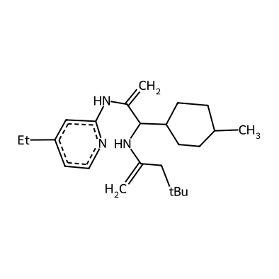 C=C(CC(C)(C)C)NC(C(=C)Nc1cc(CC)ccn1)C1CCC(C)CC1